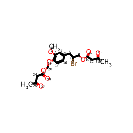 COc1cc(CC(Br)COC(=O)CC(C)=O)ccc1OCOC(=O)CC(C)=O